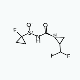 O=C(N[S+]([O-])C1(F)CC1)[C@H]1CC1C(F)F